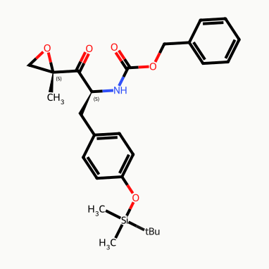 CC(C)(C)[Si](C)(C)Oc1ccc(C[C@H](NC(=O)OCc2ccccc2)C(=O)[C@]2(C)CO2)cc1